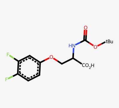 CC(C)(C)OC(=O)NC(COc1ccc(F)c(F)c1)C(=O)O